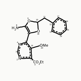 CCOC(=O)c1ncnc(C2=C(N)OC(Cc3ccccc3)O2)c1OC